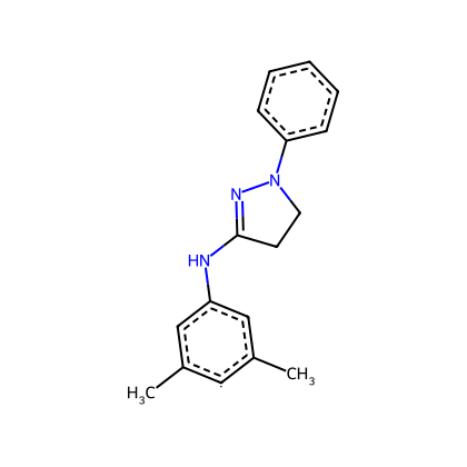 Cc1[c]c(C)cc(NC2=NN(c3ccccc3)CC2)c1